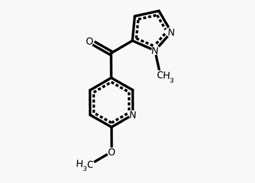 COc1ccc(C(=O)c2ccnn2C)cn1